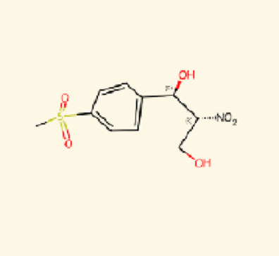 CS(=O)(=O)c1ccc([C@@H](O)[C@@H](CO)[N+](=O)[O-])cc1